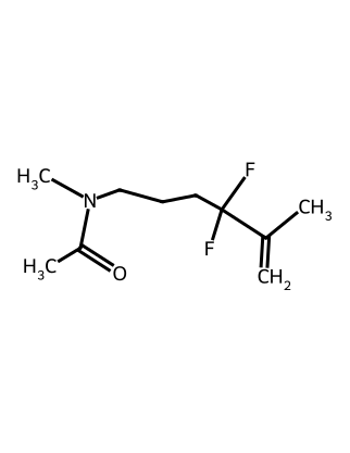 C=C(C)C(F)(F)CCCN(C)C(C)=O